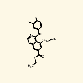 CCOC(=O)c1cc([Se]SC)c2c(Nc3ccc(F)c(Cl)c3)ncnc2c1